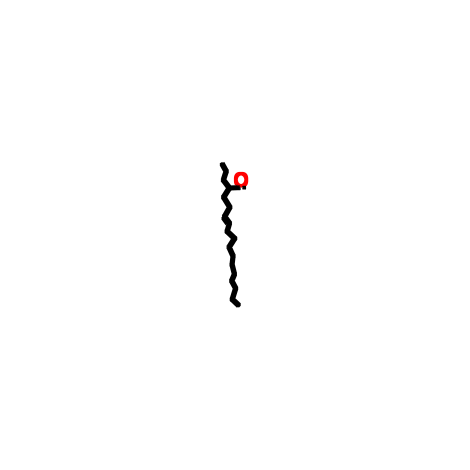 CCCCCCCCCCC=CCCC([C]=O)CCC